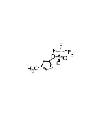 Cc1csc(OS(=O)(=O)C(F)(F)C(F)(F)F)c1